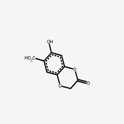 O=C1COc2cc(C(=O)O)c(O)cc2O1